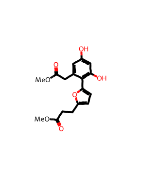 COC(=O)CCc1ccc(-c2c(O)cc(O)cc2CC(=O)OC)o1